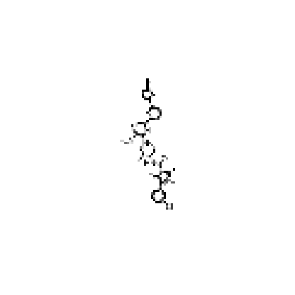 Cc1c(C(=O)NC2CCN(c3nc(-c4cccc(-c5cc[nH]n5)c4)cnc3N)CC2C)c(=O)n(-c2cccc(Cl)c2)n1C